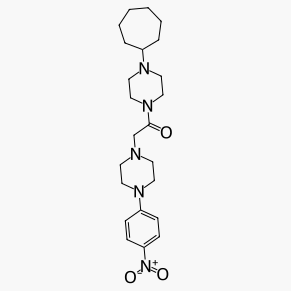 O=C(CN1CCN(c2ccc([N+](=O)[O-])cc2)CC1)N1CCN(C2CCCCCC2)CC1